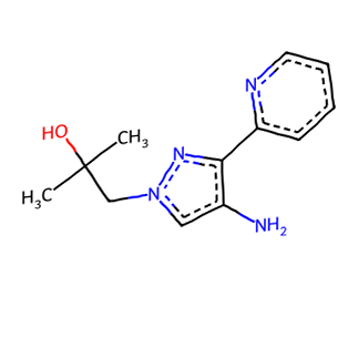 CC(C)(O)Cn1cc(N)c(-c2ccccn2)n1